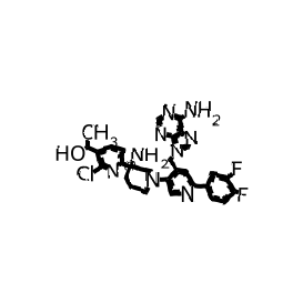 CC(O)c1ccc([C@@]2(N)CCCN(c3cnc(-c4ccc(F)c(F)c4)cc3Cn3cnc4c(N)ncnc43)C2)nc1Cl